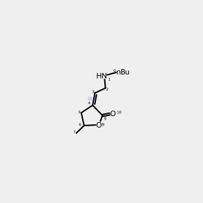 CCCCNC/C=C1/CC(C)OC1=O